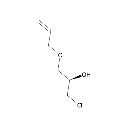 C=CCOC[C@@H](O)CCl